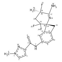 Cn1ccc(C(=O)Nc2ccc3c(c2)[C@@]2(C3)N=C(N)[C@](C)(F)CC2(F)F)n1